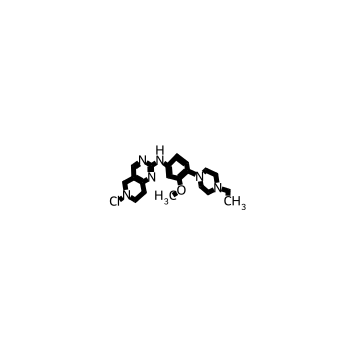 CCN1CCN(c2ccc(Nc3ncc4c(n3)CCN(Cl)C4)cc2OC)CC1